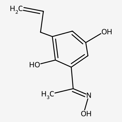 C=CCc1cc(O)cc(C(C)=NO)c1O